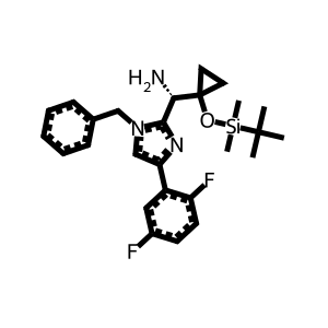 CC(C)(C)[Si](C)(C)OC1([C@@H](N)c2nc(-c3cc(F)ccc3F)cn2Cc2ccccc2)CC1